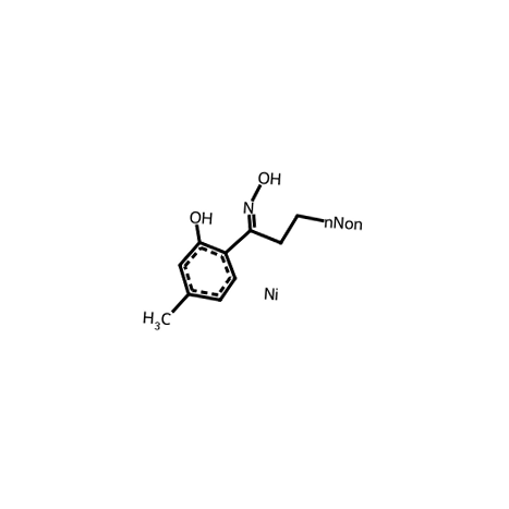 CCCCCCCCCCCC(=NO)c1ccc(C)cc1O.[Ni]